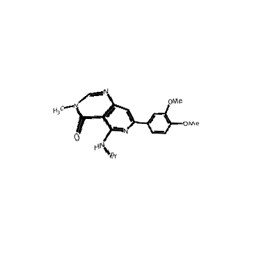 COc1ccc(-c2cc3ncn(C)c(=O)c3c(NC(C)C)n2)cc1OC